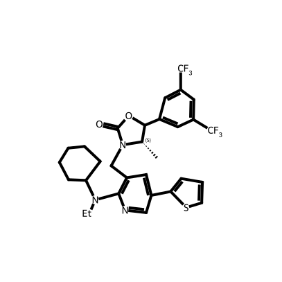 CCN(c1ncc(-c2cccs2)cc1CN1C(=O)OC(c2cc(C(F)(F)F)cc(C(F)(F)F)c2)[C@@H]1C)C1CCCCC1